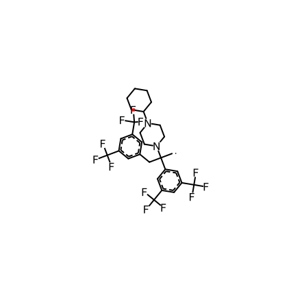 [CH2]C(Cc1cc(C(F)(F)F)cc(C(F)(F)F)c1)(c1cc(C(F)(F)F)cc(C(F)(F)F)c1)N1CCN(C2CCCCC2)CC1